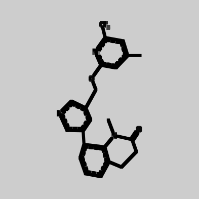 Cc1cc(OCc2cncc(-c3cccc4c3N(C)C(=O)CC4)c2)nc(C(F)(F)F)c1